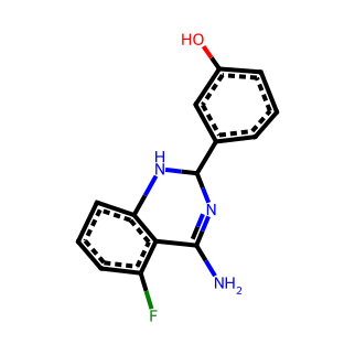 NC1=NC(c2cccc(O)c2)Nc2cccc(F)c21